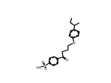 CCC(C)c1ccc(OCCCC(=O)c2ccc(S(=O)(=O)O)cc2)cc1